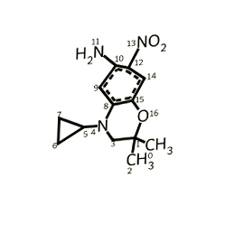 CC1(C)CN(C2CC2)c2cc(N)c([N+](=O)[O-])cc2O1